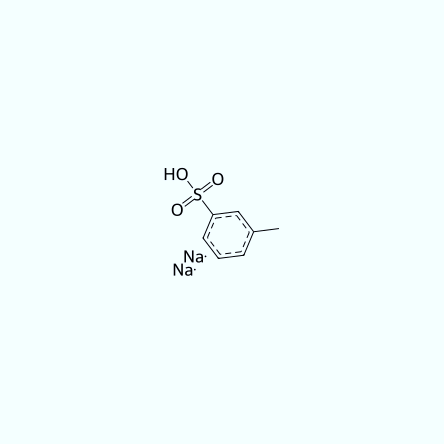 Cc1cccc(S(=O)(=O)O)c1.[Na].[Na]